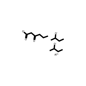 CCC(C)[O-].CCC(C)[O-].CCCC(=O)CC(=O)[O-].[Al+3]